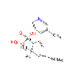 CC(=O)NC1=CC(C)(C(C)=O)C([As](=O)(O)OO)C=C1.Cc1cccnc1